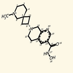 CN1CCC[C@]2(C1)C[C@@H](N1CCc3cc(C(=O)NO)cnc3C1)C2